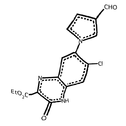 CCOC(=O)c1nc2cc(-n3ccc(C=O)c3)c(Cl)cc2[nH]c1=O